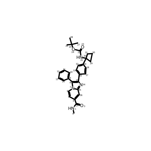 CNC(=O)c1ccn2c(-c3ccccc3)c(-c3ccc(C4(NC(=O)OC(C)(C)C)CCC4)cc3)nc2c1